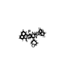 CCc1cccc2cccc(-c3ncc4c([C@@H]5CCCOCC5)nc(OCC56CCCN5CCC6)nc4c3F)c12